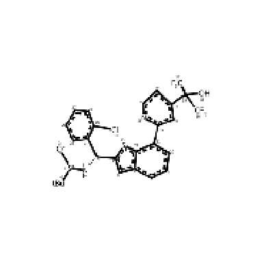 CC(C)(C)[S+]([O-])N[C@@H](c1cc2cccc(-c3cc(C(O)(C(F)(F)F)C(F)(F)F)ccn3)c2s1)c1ccccc1Cl